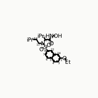 CCOc1ccc2ccc(S(=O)(=O)N(CCC(C)C)C(C(=O)NO)C(C)C)cc2c1